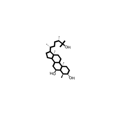 C[C@H](CC[C@H](C)C(C)(C)O)C1CCC2C3C[C@H](O)C4[C@H](C)[C@@H](O)CC[C@]4(C)C3CC[C@@]21C